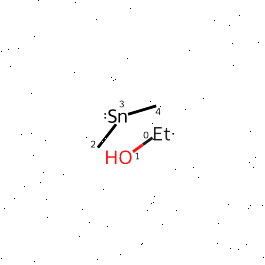 C[CH]O.[CH3][Sn][CH3]